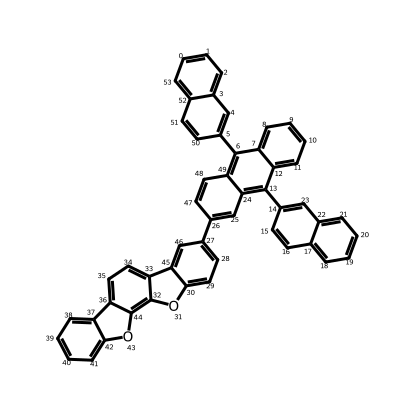 c1ccc2cc(-c3c4ccccc4c(-c4ccc5ccccc5c4)c4cc(-c5ccc6oc7c(ccc8c9ccccc9oc87)c6c5)ccc34)ccc2c1